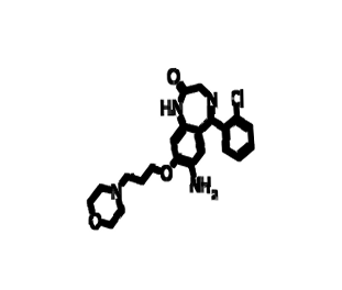 Nc1cc2c(cc1OCCCN1CCOCC1)NC(=O)CN=C2c1ccccc1Cl